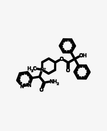 C[N+]1(C(C(N)=O)c2cccnn2)CCC(OC(=O)C(O)(c2ccccc2)c2ccccc2)CC1